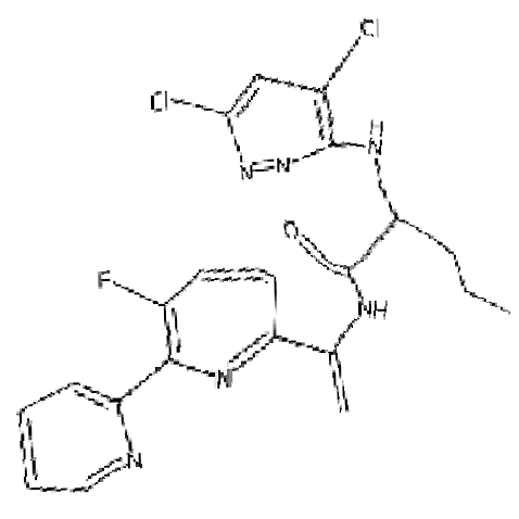 C=C(NC(=O)C(CCC)Nc1nnc(Cl)cc1Cl)c1ccc(F)c(-c2ccccn2)n1